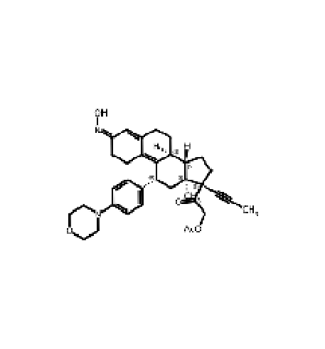 CC#C[C@]1(C(=O)COC(C)=O)CC[C@H]2[C@@H]3CCC4=CC(=NO)CCC4=C3[C@@H](c3ccc(N4CCOCC4)cc3)C[C@@]21C